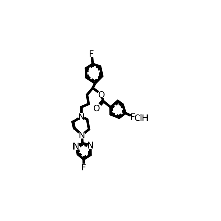 Cl.O=C(OC(CCCN1CCN(c2ncc(F)cn2)CC1)c1ccc(F)cc1)c1ccc(F)cc1